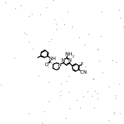 Cc1cccc(NC(=O)[C@H]2CCCN(c3cc(-c4ccc(C#N)c(F)c4)nc(N)n3)C2)c1